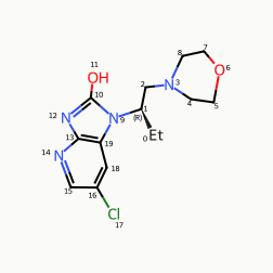 CC[C@H](CN1CCOCC1)n1c(O)nc2ncc(Cl)cc21